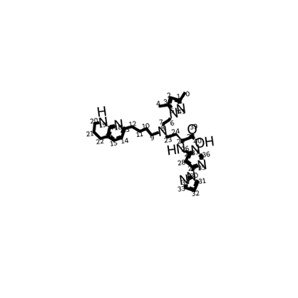 Cc1cc(C)n(CCN(CCCCc2ccc3c(n2)NCCC3)CC[C@H](Nc2cc(-n3cccn3)ncn2)C(=O)O)n1